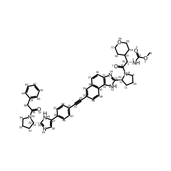 COC(=O)N[C@H](C(=O)N1CCC[C@H]1c1nc2ccc3cc(C#Cc4ccc(-c5cnc([C@@H]6CCCN6C(=O)Cc6ccccc6)[nH]5)cc4)ccc3c2[nH]1)C1CCOCC1